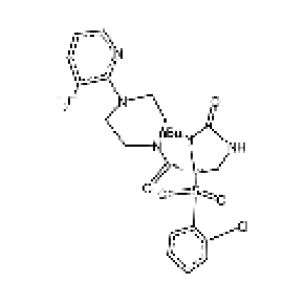 CCCCN1C(=O)NC[C@@]1(C(=O)N1CCN(c2ncccc2C(F)(F)F)CC1)S(=O)(=O)c1ccccc1Cl